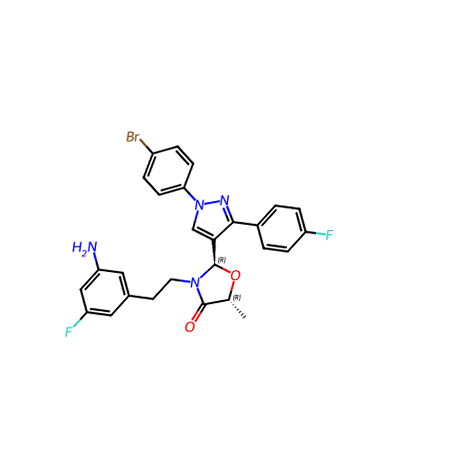 C[C@H]1O[C@H](c2cn(-c3ccc(Br)cc3)nc2-c2ccc(F)cc2)N(CCc2cc(N)cc(F)c2)C1=O